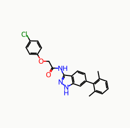 Cc1cccc(C)c1-c1ccc2c(NC(=O)COc3ccc(Cl)cc3)n[nH]c2c1